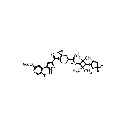 COc1cc(-c2cc(C(=O)N3CCC(C(=O)NC4C(C)(C)C(N5CCC(F)(F)C5)C4(C)C)CC34CC4)n[nH]2)c(F)cn1